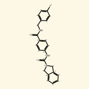 O=C(NCc1ccc(F)cc1)c1ccc(NC(=O)N2Cc3ccccc3C2)cc1